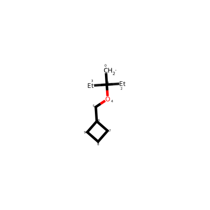 [CH2]C(CC)(CC)OCC1CCC1